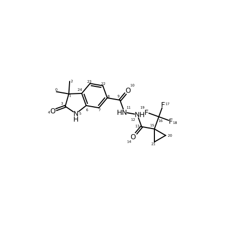 CC1(C)C(=O)Nc2cc(C(=O)NNC(=O)C3(C(F)(F)F)CC3)ccc21